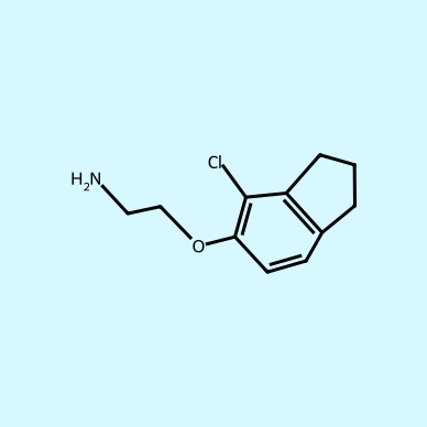 NCCOc1ccc2c(c1Cl)CCC2